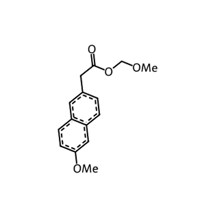 COCOC(=O)Cc1ccc2cc(OC)ccc2c1